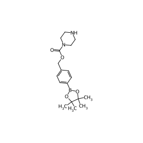 CC1(C)OB(c2ccc(COC(=O)N3CCNCC3)cc2)OC1(C)C